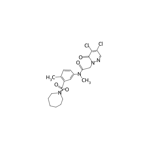 Cc1ccc(N(C)C(=O)Cn2ncc(Cl)c(Cl)c2=O)cc1S(=O)(=O)N1CCCCCC1